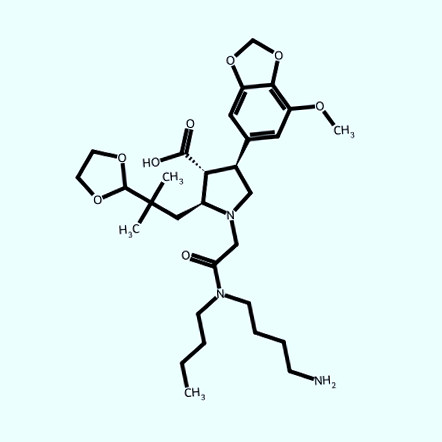 CCCCN(CCCCN)C(=O)CN1C[C@H](c2cc(OC)c3c(c2)OCO3)[C@@H](C(=O)O)[C@@H]1CC(C)(C)C1OCCO1